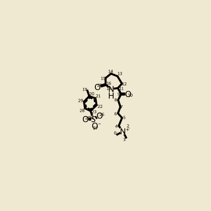 C[N+](C)(C)CCCCCC(=O)C1CCCCC(=O)N1.Cc1ccc(S(=O)(=O)[O-])cc1